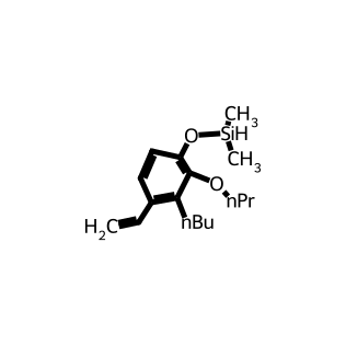 C=Cc1ccc(O[SiH](C)C)c(OCCC)c1CCCC